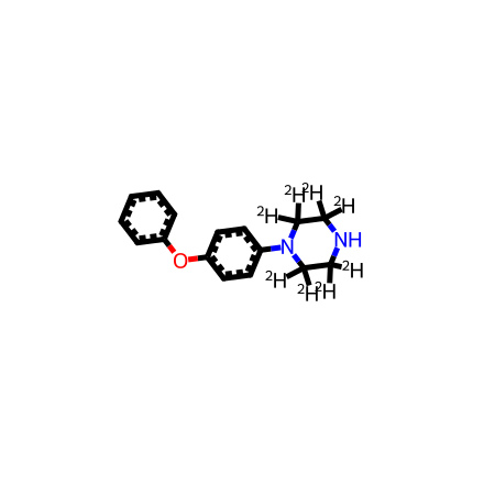 [2H]C1([2H])NC([2H])([2H])C([2H])([2H])N(c2ccc(Oc3ccccc3)cc2)C1([2H])[2H]